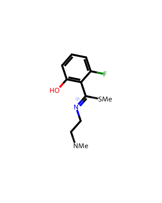 CNCC/N=C(\SC)c1c(O)cccc1F